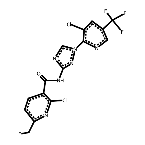 O=C(Nc1ncn(-c2ncc(C(F)(F)F)cc2Cl)n1)c1ccc(CF)nc1Cl